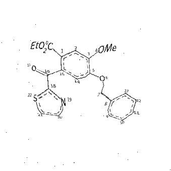 CCOC(=O)c1cc(OC)c(OCc2ccccc2)cc1C(=O)c1nccs1